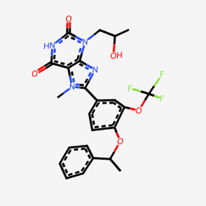 CC(O)Cn1c(=O)[nH]c(=O)c2c1nc(-c1ccc(OC(C)c3ccccc3)c(OC(F)(F)F)c1)n2C